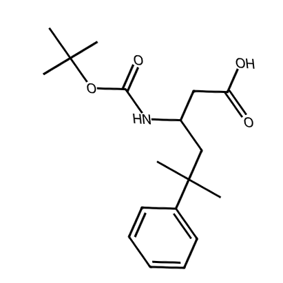 CC(C)(C)OC(=O)NC(CC(=O)O)CC(C)(C)c1ccccc1